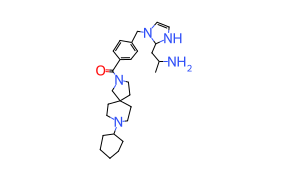 CC(N)CC1NC=CN1Cc1ccc(C(=O)N2CCC3(CCN(C4CCCCC4)CC3)C2)cc1